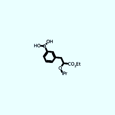 CCOC(=O)C(Cc1cccc(B(O)O)c1)OC(C)C